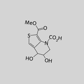 COC(=O)c1scc2c1N(C(=O)O)CC(O)C2O